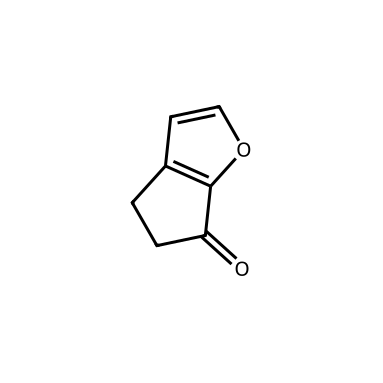 O=C1CCc2ccoc21